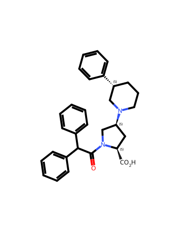 O=C(O)[C@@H]1C[C@H](N2CCC[C@@H](c3ccccc3)C2)CN1C(=O)C(c1ccccc1)c1ccccc1